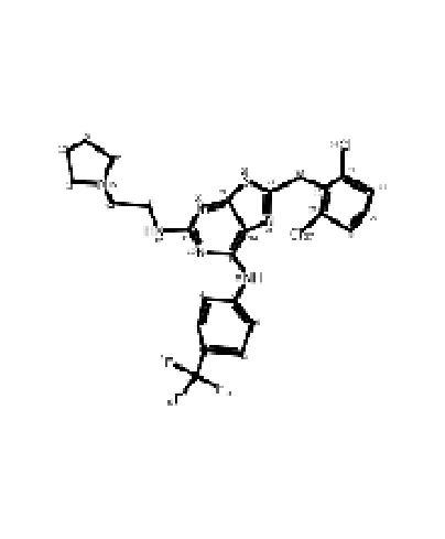 FC(F)(F)c1ccc(Nc2nc(NCCN3CCCC3)nc3sc(Cc4c(Cl)cccc4Cl)nc23)cc1